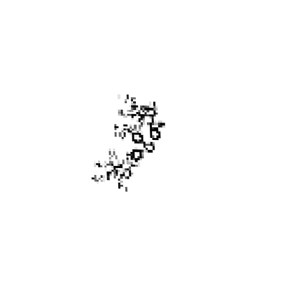 COC(=O)N[C@H](C(=O)N1[C@H](c2nc3cc([C@H]4CC[C@H](c5ccc6[nH]c([C@@H]7CCC(C)(C)N7C(=O)[C@@H](NC(=O)OC)C(C)C)nc6c5)N4c4ccc(C(C)(C)C)cc4)ccc3[nH]2)CCC1(C)C)C(C)C